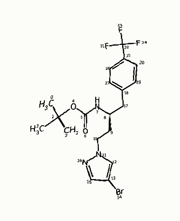 CC(C)(C)OC(=O)N[C@H](CCn1cc(Br)cn1)Cc1ccc(C(F)(F)F)cc1